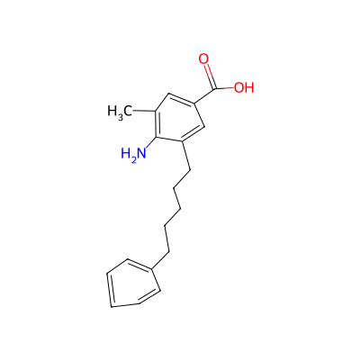 Cc1cc(C(=O)O)cc(CCCCCc2ccccc2)c1N